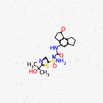 CC(C)(O)c1ncc([S@](N)(=O)=NC(=O)Nc2cc3c(c4c2CCC4=O)CCC3)s1